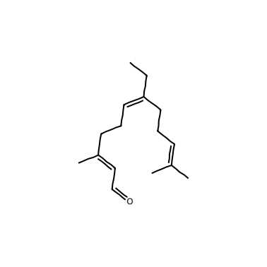 CCC(=CCCC(C)=CC=O)CCC=C(C)C